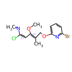 C=N/C(Cl)=C\C(OC)=C(/C)COc1cccc(Br)n1